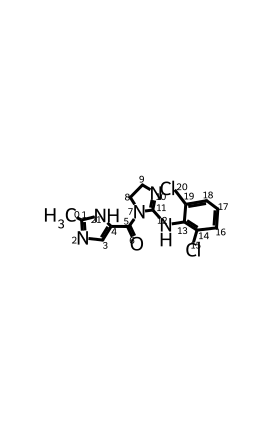 Cc1ncc(C(=O)N2CCN=C2Nc2c(Cl)cccc2Cl)[nH]1